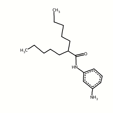 CCCCCC(CCCCC)C(=O)Nc1cccc(N)c1